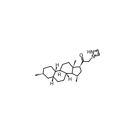 C[C@H]1CC[C@H]2[C@H](CC[C@H]3C4[C@H](C)C[C@H](C(=O)Cn5cc[nH]5)[C@@]4(C)CC[C@H]23)C1